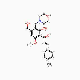 COc1cc(CO)c(CN2CCOCC2)c(O)c1C(=O)/C=C/c1ccc(C)cc1